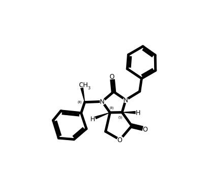 C[C@H](c1ccccc1)N1C(=O)N(Cc2ccccc2)[C@@H]2C(=O)OC[C@@H]21